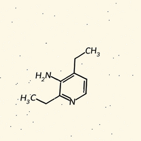 CCc1ccnc(CC)c1N